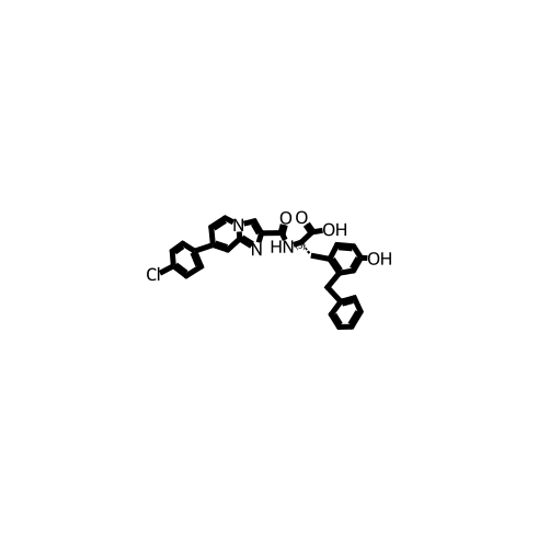 O=C(N[C@@H](Cc1ccc(O)cc1Cc1ccccc1)C(=O)O)c1cn2ccc(-c3ccc(Cl)cc3)cc2n1